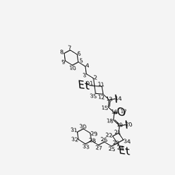 CCC1(CCCC2CCCCC2)CC(C(I)=CC(=O)C=C(I)C2CC(CC)(CCCC3CCCCC3)C2)C1